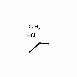 CCC.Cl.[CaH2]